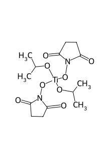 CC(C)[O][Ti]([O]C(C)C)([O]N1C(=O)CCC1=O)[O]N1C(=O)CCC1=O